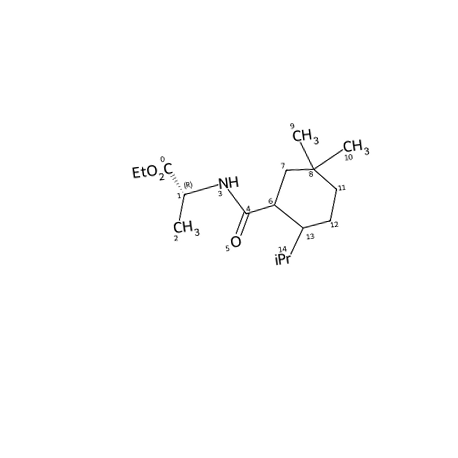 CCOC(=O)[C@@H](C)NC(=O)C1CC(C)(C)CCC1C(C)C